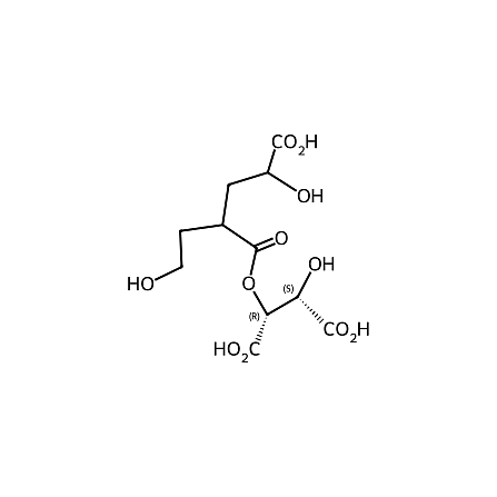 O=C(O)C(O)CC(CCO)C(=O)O[C@@H](C(=O)O)[C@H](O)C(=O)O